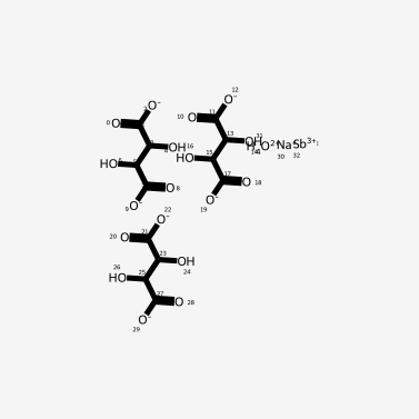 O=C([O-])C(O)C(O)C(=O)[O-].O=C([O-])C(O)C(O)C(=O)[O-].O=C([O-])C(O)C(O)C(=O)[O-].[Na+].[OH4+2].[Sb+3]